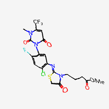 COC(=O)CCCN1C(=O)CS/C1=N\c1cc(-n2c(=O)cc(C(F)(F)F)n(C)c2=O)c(F)cc1Cl